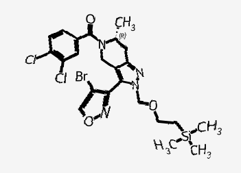 C[C@@H]1Cc2nn(COCC[Si](C)(C)C)c(-c3nocc3Br)c2CN1C(=O)c1ccc(Cl)c(Cl)c1